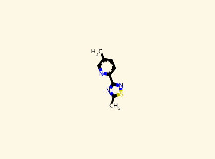 Cc1ccc(-c2nsc(C)n2)nc1